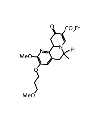 CCOC(=O)C1=CN2C(CC1=O)c1nc(OC)c(OCCCOC)cc1CC2(C)C(C)C